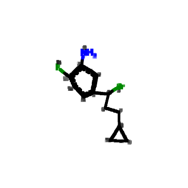 Nc1cc(C(Br)CCC2CC2)ccc1F